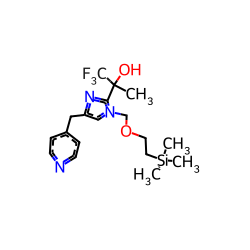 CC(O)(c1nc(Cc2ccncc2)cn1COCC[Si](C)(C)C)C(F)(F)F